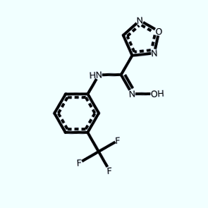 ON=C(Nc1cccc(C(F)(F)F)c1)c1cnon1